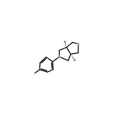 Ic1ccc(N2C[C@H]3COC[C@H]3C2)cc1